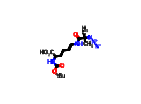 CC(C)(C)OC(=O)NC(CCCCNC(=O)C(C)(C)N=[N+]=[N-])C(=O)O